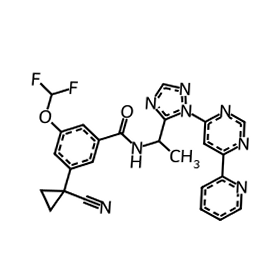 CC(NC(=O)c1cc(OC(F)F)cc(C2(C#N)CC2)c1)c1ncnn1-c1cc(-c2ccccn2)ncn1